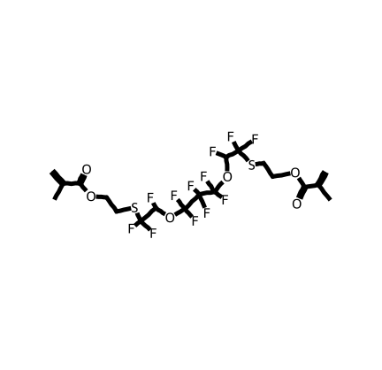 C=C(C)C(=O)OCCSC(F)(F)C(F)OC(F)(F)C(F)(F)C(F)(F)OC(F)C(F)(F)SCCOC(=O)C(=C)C